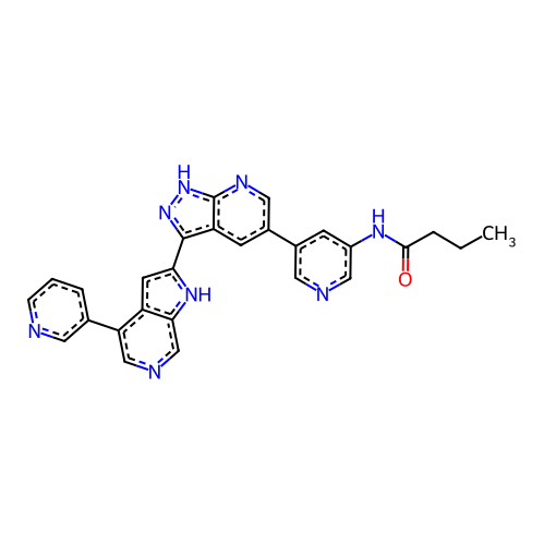 CCCC(=O)Nc1cncc(-c2cnc3[nH]nc(-c4cc5c(-c6cccnc6)cncc5[nH]4)c3c2)c1